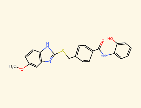 COc1ccc2[nH]c(SCc3ccc(C(=O)Nc4ccccc4O)cc3)nc2c1